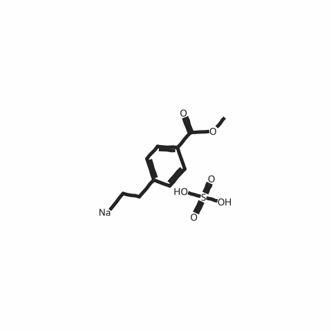 COC(=O)c1ccc(C[CH2][Na])cc1.O=S(=O)(O)O